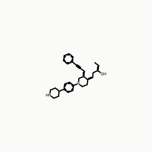 C/C=C(/O)C/C=C1/CCN(c2ccc(C3CCNCC3)cc2)C/C1=C\C#Cc1ccccc1